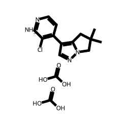 CC1(C)Cc2c(-c3ccncc3Cl)cnn2C1.N.O=C(O)O.O=C(O)O